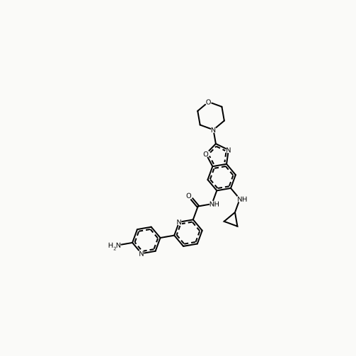 Nc1ccc(-c2cccc(C(=O)Nc3cc4oc(N5CCOCC5)nc4cc3NC3CC3)n2)cn1